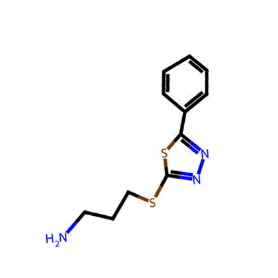 NCCCSc1nnc(-c2ccccc2)s1